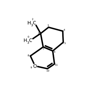 CC1(C)CC[CH]C2=C1COC=C2